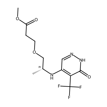 COC(=O)CCOC[C@@H](C)Nc1cn[nH]c(=O)c1C(F)(F)F